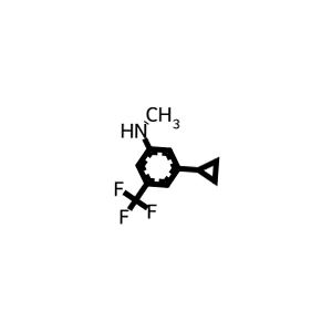 CNc1cc(C2CC2)cc(C(F)(F)F)c1